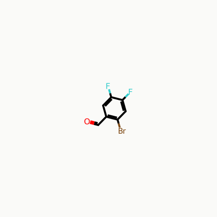 O=Cc1cc(F)c(F)cc1Br